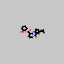 O=C(NC1CCCCC1O)c1cccn2c(=O)c3cc(C4CC4)ccc3nc12